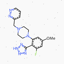 COc1cc(F)c(-c2nn[nH]n2)c(N2CCN(Cc3cccnn3)CC2)c1